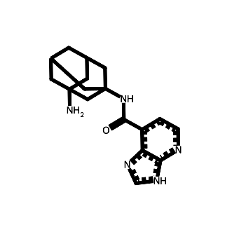 NC12CC3CC(C1)CC(NC(=O)c1ccnc4[nH]cnc14)(C3)C2